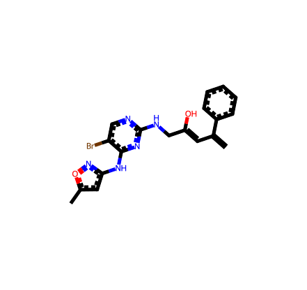 C=C(/C=C(\O)CNc1ncc(Br)c(Nc2cc(C)on2)n1)c1ccccc1